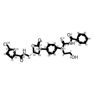 O=C(NC(=S)N(CCO)c1ccc(N2C[C@H](CNC(=O)c3ccc(Cl)s3)OC2=O)cc1)c1ccccc1